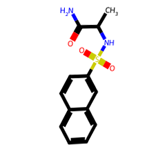 CC(NS(=O)(=O)c1ccc2ccccc2c1)C(N)=O